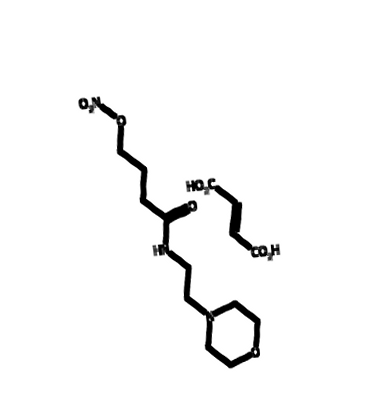 O=C(CCCO[N+](=O)[O-])NCCN1CCOCC1.O=C(O)C=CC(=O)O